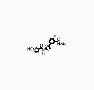 CNC(=O)c1cc(-c2cnc(NC(=O)C3CCN(C#N)C3)s2)ccc1F